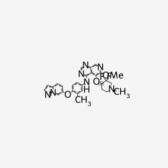 COc1ncc2ncnc(Nc3ccc(Oc4ccc5ccnn5c4)c(C)c3)c2c1O[C@H]1CCN(C)CC1(F)F